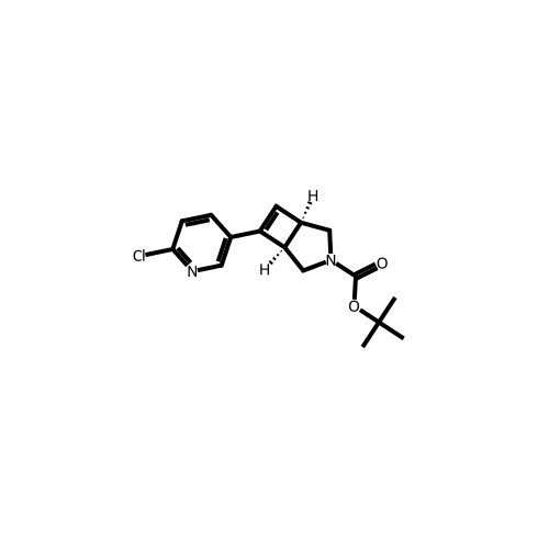 CC(C)(C)OC(=O)N1C[C@@H]2C=C(c3ccc(Cl)nc3)[C@@H]2C1